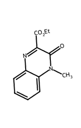 CCOC(=O)c1nc2ccccc2n(C)c1=O